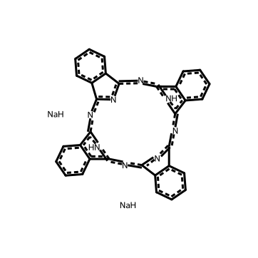 [NaH].[NaH].c1ccc2c(c1)-c1nc-2nc2[nH]c(nc3nc(nc4[nH]c(n1)c1ccccc41)-c1ccccc1-3)c1ccccc21